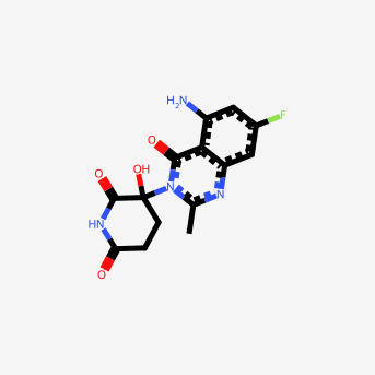 Cc1nc2cc(F)cc(N)c2c(=O)n1C1(O)CCC(=O)NC1=O